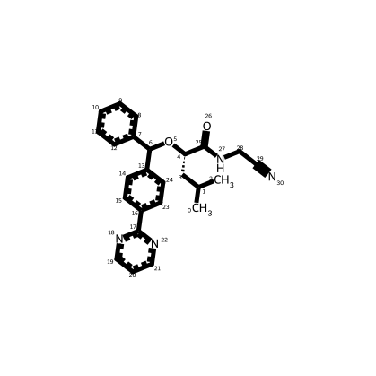 CC(C)C[C@H](OC(c1ccccc1)c1ccc(-c2ncccn2)cc1)C(=O)NCC#N